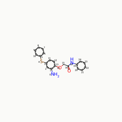 Nc1cc(Sc2ccccc2)ccc1OCC(=O)Nc1ccccc1